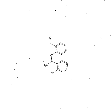 CC(Oc1ccccc1C=O)c1ccccc1Cl